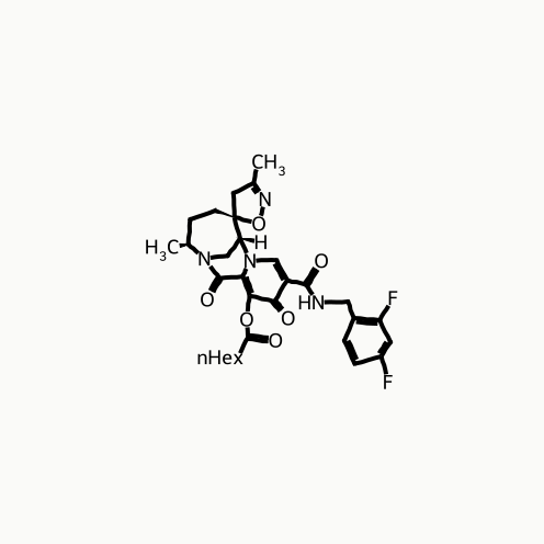 CCCCCCC(=O)Oc1c2n(cc(C(=O)NCc3ccc(F)cc3F)c1=O)[C@@H]1CN(C2=O)[C@@H](C)CC[C@]12CC(C)=NO2